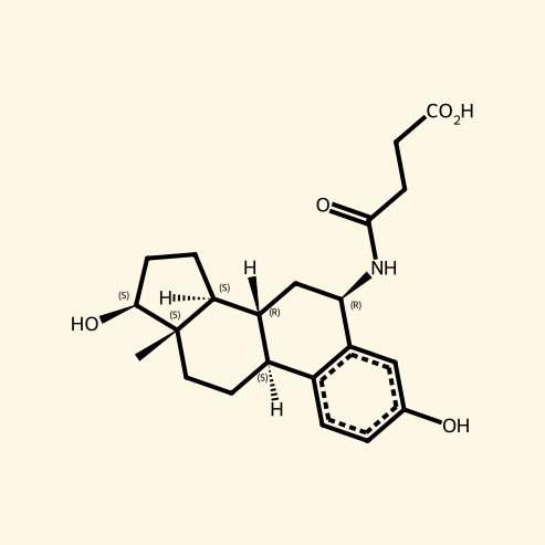 C[C@]12CC[C@@H]3c4ccc(O)cc4[C@H](NC(=O)CCC(=O)O)C[C@H]3[C@@H]1CC[C@@H]2O